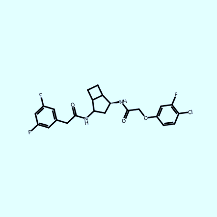 O=C(Cc1cc(F)cc(F)c1)NC1C[C@H](NC(=O)COc2ccc(Cl)c(F)c2)C2CCC12